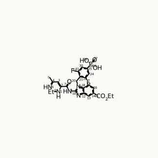 CCN/C(=C\C(C)=N)C(=O)Nc1nc2cc(C(=O)OCC)ccc2n1Cc1c(F)cc(P(=O)(O)O)cc1F